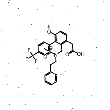 COc1ccc(CC(=O)O)c(CN(CCc2ccccc2)S(C)(=O)=O)c1-c1ccc(C(F)(F)F)cc1